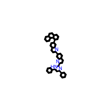 C1=C(c2ccccc2)NC(c2ccc3ccc(-c4ccc5ccc(-c6cccc7ccc8ccccc8c67)cc5n4)cc3n2)N=C1c1ccccc1